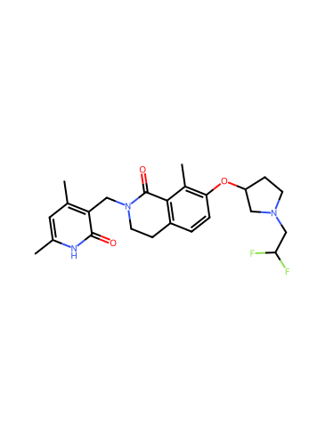 Cc1cc(C)c(CN2CCc3ccc(OC4CCN(CC(F)F)C4)c(C)c3C2=O)c(=O)[nH]1